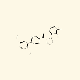 COc1cc(-c2ccc(C(=O)N3CCC[C@@H]3c3cccc(F)c3F)cc2)c(OC)nn1